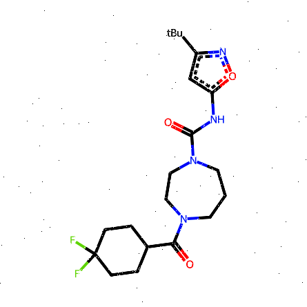 CC(C)(C)c1cc(NC(=O)N2CCCN(C(=O)C3CCC(F)(F)CC3)CC2)on1